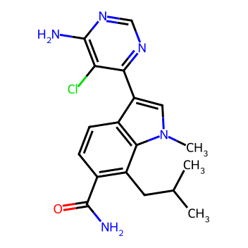 CC(C)Cc1c(C(N)=O)ccc2c(-c3ncnc(N)c3Cl)cn(C)c12